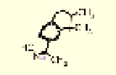 C/C(=N/O)c1ccc2c(c1)C(C)(I)C(C)CC2